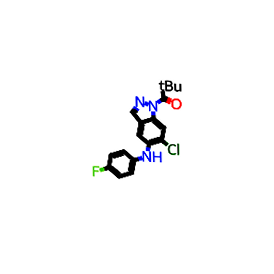 CC(C)(C)C(=O)n1ncc2cc(Nc3ccc(F)cc3)c(Cl)cc21